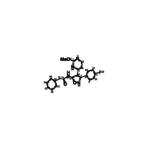 COc1nccc(-c2c(-c3ccc(F)cc3)noc2NC(=O)Cc2ccccc2)n1